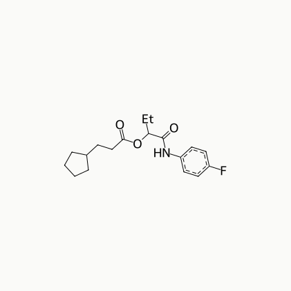 CCC(OC(=O)CCC1CCCC1)C(=O)Nc1ccc(F)cc1